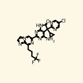 Nc1nc(-c2cn3ccnc3c(CCCC(F)(F)F)n2)nc2c1C(c1ncc(Cl)cn1)(C1CC1)C(=O)N2